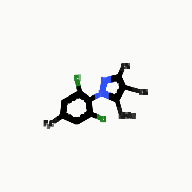 CC(=O)Nc1c(C#N)c(C#N)nn1-c1c(Cl)cc(C(F)(F)F)cc1Cl